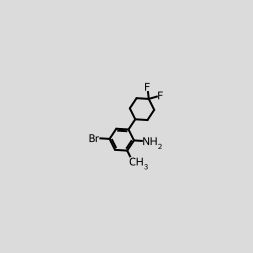 Cc1cc(Br)cc(C2CCC(F)(F)CC2)c1N